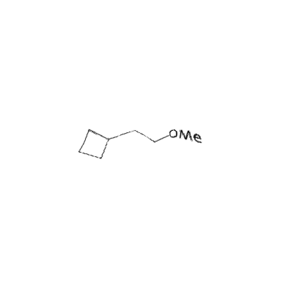 [CH2]OCCC1CCC1